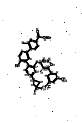 CCc1ccc(-c2ccc(C(=O)OC)cc2C)cc1-c1cnc(N2CC(F)(F)C2)nc1CN(C)[C@@H](C)[C@H](OC=O)c1cc(C(F)(F)F)cc(C(F)(F)F)c1